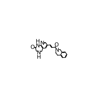 O=C1CNCc2cc(C=CC(=O)N3CCc4ccccc4C3)cnc2N1